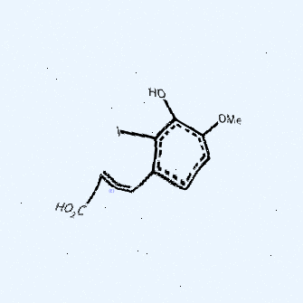 COc1ccc(/C=C/C(=O)O)c(I)c1O